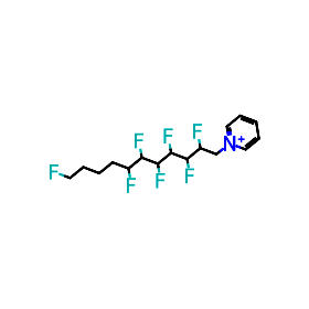 FCCCCC(F)C(F)C(F)C(F)C(F)C(F)C[n+]1ccccc1